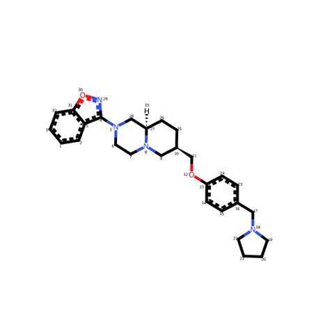 c1ccc2c(N3CCN4C[C@H](COc5ccc(CN6CCCC6)cc5)CC[C@@H]4C3)noc2c1